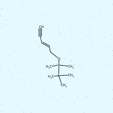 C#CC=CCO[Si](C)(C)C(C)(C)C